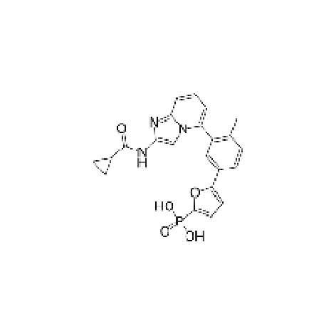 Cc1ccc(-c2ccc(P(=O)(O)O)o2)cc1-c1cccc2nc(NC(=O)C3CC3)cn12